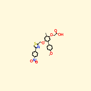 COc1ccc(-c2cc(OCC(=O)O)c(C)cc2OCc2nc(-c3ccc([N+](=O)[O-])cc3)cs2)cc1